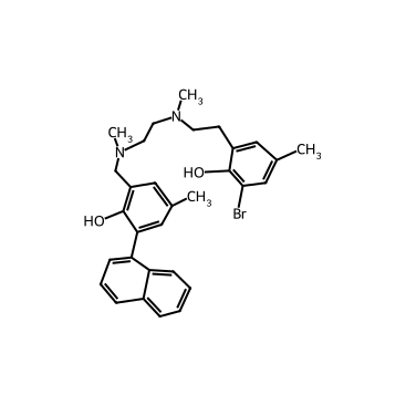 Cc1cc(Br)c(O)c(CCN(C)CCN(C)Cc2cc(C)cc(-c3cccc4ccccc34)c2O)c1